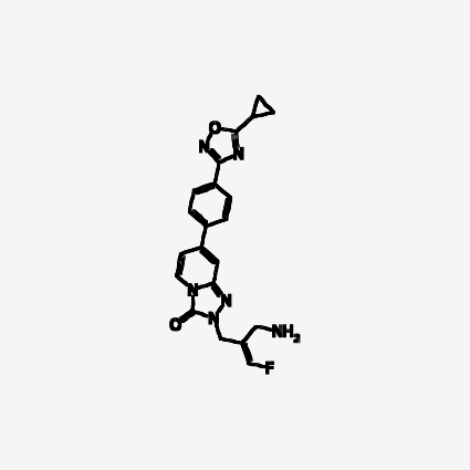 NC/C(=C\F)Cn1nc2cc(-c3ccc(-c4noc(C5CC5)n4)cc3)ccn2c1=O